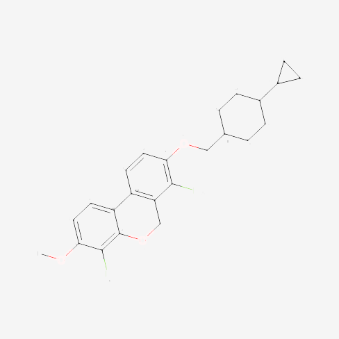 CCOc1ccc2c(c1F)OCc1c-2ccc(OCC2CCC(C3CC3)CC2)c1F